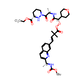 C[C@H](NC(=O)[C@@H](OOC(=O)C(C)(C)/C=C/c1ccc2ccc([C@@H](C)NC(=O)OC(C)(C)C)nc2c1)C1CCOCC1)C(=O)N1CCC[C@@H](C(=O)OCC(Cl)(Cl)Cl)N1